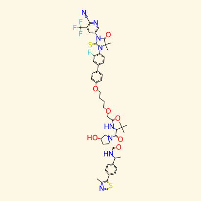 Cc1ncsc1-c1ccc(C(C)NC(=O)[C@@H]2C[C@@H](O)CN2C(=O)C(NC(=O)COCCCCOc2ccc(-c3ccc(N4C(=S)N(c5cnc(C#N)c(C(F)(F)F)c5)C(=O)C4(C)C)c(F)c3)cc2)C(C)(C)C)cc1